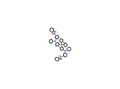 c1ccc(N(c2cccc(-c3nc4ccccc4o3)c2)c2ccc3c(c2)C2(c4ccccc4-c4ccccc42)c2cc(N(c4ccccc4)c4cccc(-c5nc6ccccc6o5)c4)ccc2-3)cc1